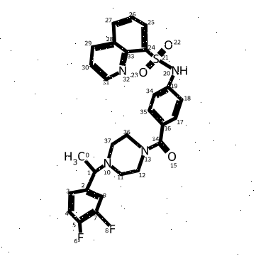 CC(c1ccc(F)c(F)c1)N1CCN(C(=O)c2ccc(NS(=O)(=O)c3cccc4cccnc34)cc2)CC1